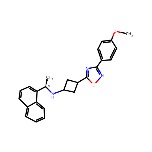 COc1ccc(-c2noc(C3CC(N[C@H](C)c4cccc5ccccc45)C3)n2)cc1